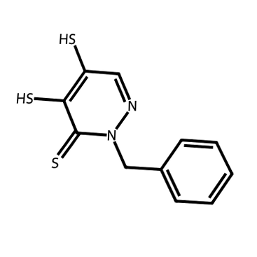 S=c1c(S)c(S)cnn1Cc1ccccc1